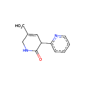 O=C(O)C1=CC(c2ccccn2)C(=O)NC1